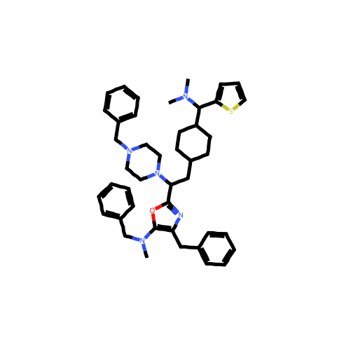 CN(Cc1ccccc1)c1oc(C(CC2CCC(C(c3cccs3)N(C)C)CC2)N2CCN(Cc3ccccc3)CC2)nc1Cc1ccccc1